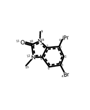 CC(C)c1cc(Br)cc2c1n(C)c(=O)n2C